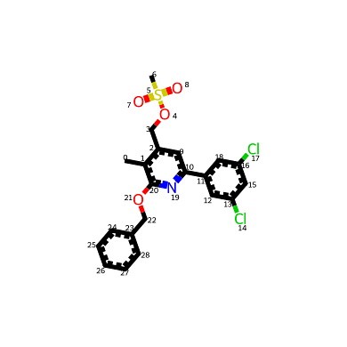 Cc1c(COS(C)(=O)=O)cc(-c2cc(Cl)cc(Cl)c2)nc1OCc1ccccc1